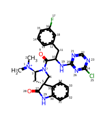 C=[N+](C)[C@@H]1C[C@@]2(CN1C(=O)C(Cc1cccc(F)c1)Nc1ncnc(Cl)n1)C(=O)Nc1ccccc12